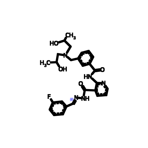 CC(O)CN(Cc1cccc(C(=O)Nc2ncccc2C(=O)N/N=C/c2cccc(F)c2)c1)CC(C)O